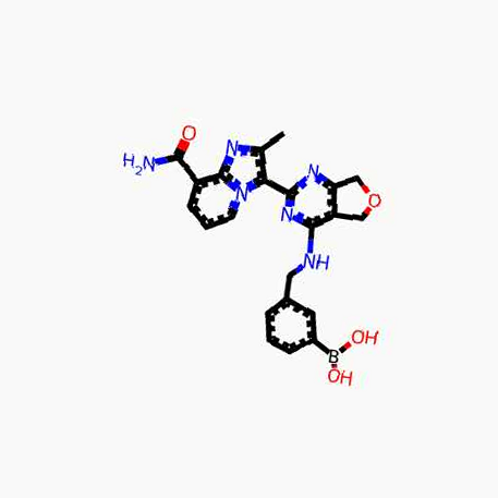 Cc1nc2c(C(N)=O)cccn2c1-c1nc2c(c(NCc3cccc(B(O)O)c3)n1)COC2